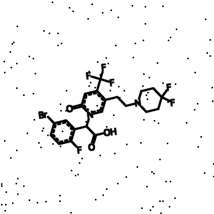 O=C(O)C(c1cc(Br)ccc1F)n1cc(CCN2CCC(F)(F)CC2)c(C(F)(F)F)cc1=O